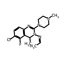 C/C=N\N1C(N2CCN(C)CC2)=Nc2ccc(Cl)c(F)c2C1C